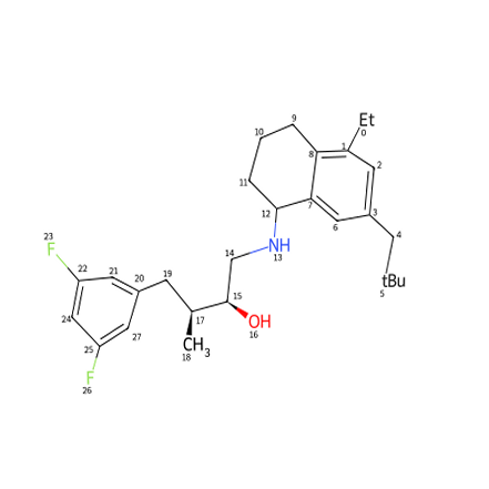 CCc1cc(CC(C)(C)C)cc2c1CCCC2NC[C@@H](O)[C@@H](C)Cc1cc(F)cc(F)c1